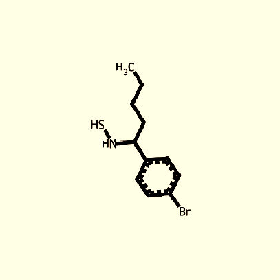 CCCCC(NS)c1ccc(Br)cc1